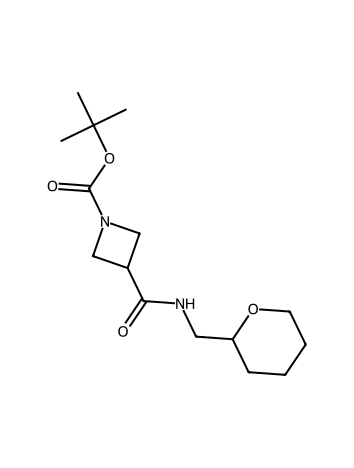 CC(C)(C)OC(=O)N1CC(C(=O)NCC2CCCCO2)C1